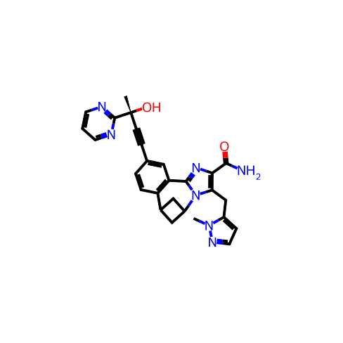 Cn1nccc1Cc1c(C(N)=O)nc2n1C1CC(C1)c1ccc(C#C[C@@](C)(O)c3ncccn3)cc1-2